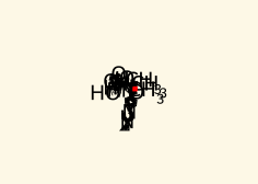 CC(C)(C)[C@H](NC(=O)c1ccc(N2CCN(C3CC3)CC2)cc1)C(=O)N1C[C@H](O)[C@H]2OCC(=O)[C@H]21